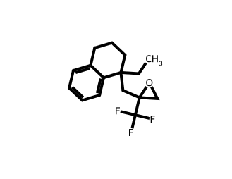 CCC1(CC2(C(F)(F)F)CO2)CCCc2ccccc21